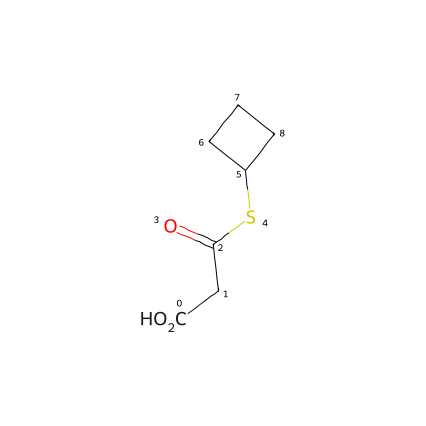 O=C(O)CC(=O)SC1CCC1